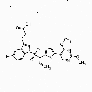 C=CC(c1ccc(-c2cnc(OC)nc2OC)s1)S(=O)(=O)n1cc(CCC(=O)O)c2cc(F)ccc21